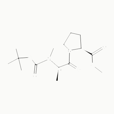 COC(=O)[C@@H]1CCCN1C(=O)[C@@H](C)N(C)C(=O)OC(C)(C)C